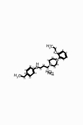 CCOc1ccccc1N1CCN(CCCNc2ccc(CC)cc2)CC1.Cl.Cl